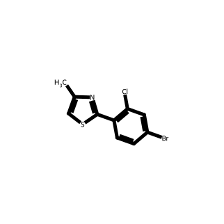 Cc1csc(-c2ccc(Br)cc2Cl)n1